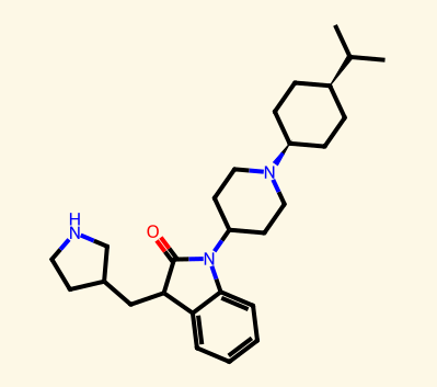 CC(C)[C@H]1CC[C@@H](N2CCC(N3C(=O)C(CC4CCNC4)c4ccccc43)CC2)CC1